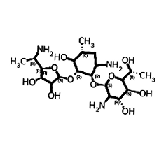 C[C@@H]1CC(N)[C@@H](O[C@H]2OC([C@@H](C)O)[C@@H](O)[C@H](O)C2N)[C@H](O[C@@H]2O[C@H]([C@@H](C)N)[C@H](O)C2O)C1O